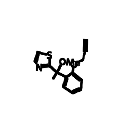 C#CCOc1ccccc1C(C)(OC)c1nccs1